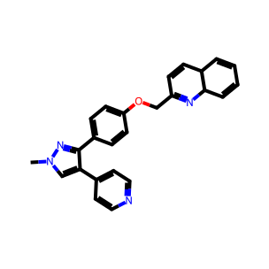 Cn1cc(-c2ccncc2)c(-c2ccc(OCC3=NC4C=CC=CC4C=C3)cc2)n1